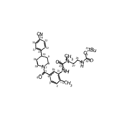 Cc1ccc(C(=O)N2CCC(c3ccc(C#N)cc3)CC2)cc1NC(=O)N(C)CCNC(=O)OC(C)(C)C